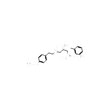 COc1ccc(CCNC[C@@H](O)[C@H](Cc2ccccc2)N(C(=O)O)C(C)(C)C)cc1